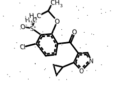 CC(C)Oc1c(C(=O)c2cnoc2C2CC2)ccc(Cl)c1[S+](C)[O-]